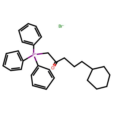 O=C(CCCC1CCCCC1)C[P+](c1ccccc1)(c1ccccc1)c1ccccc1.[Br-]